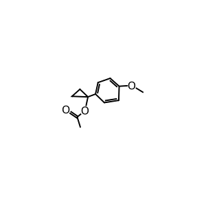 COc1ccc(C2(OC(C)=O)CC2)cc1